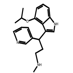 CNCCC(c1cccnc1)c1c[nH]c2cccc(OC(C)C)c12